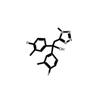 Cc1cc(C(O)(Cc2nnnn2C)c2ccc(F)c(C)c2)ccc1F